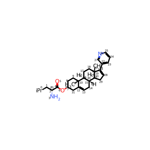 CC(C)C[C@@H](N)C(=O)O[C@H]1CC[C@@]2(C)C(=CC[C@@H]3[C@@H]2CC[C@]2(C)C(c4cccnc4)=CC[C@@H]32)C1